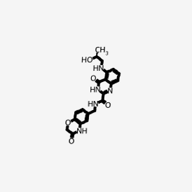 C[C@H](O)CNc1cccc2nc(C(=O)NCc3ccc4c(c3)NC(=O)CO4)[nH]c(=O)c12